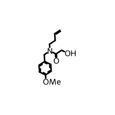 C=CCCN(Cc1ccc(OC)cc1)C(=O)CO